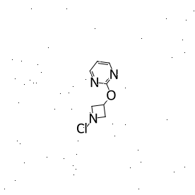 ClN1CC(Oc2ncccn2)C1